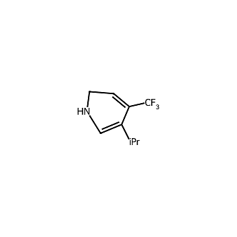 CC(C)C1=CNCC=C1C(F)(F)F